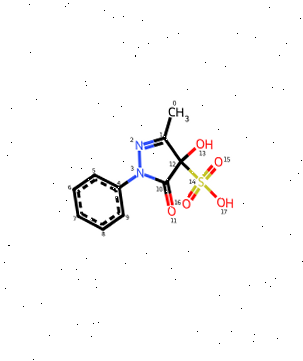 CC1=NN(c2ccccc2)C(=O)C1(O)S(=O)(=O)O